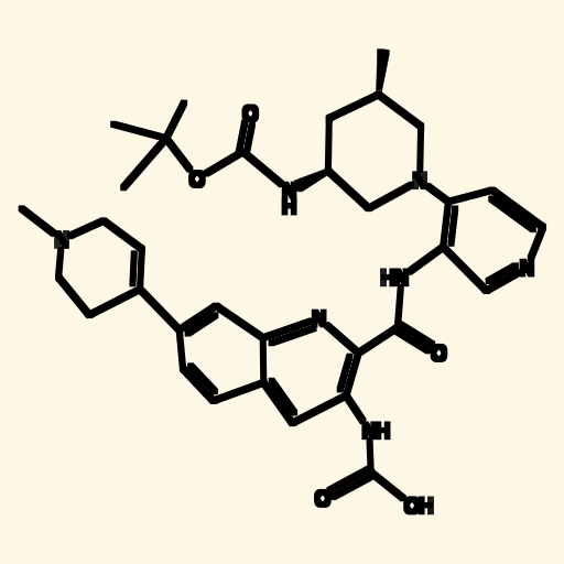 C[C@@H]1C[C@H](NC(=O)OC(C)(C)C)CN(c2ccncc2NC(=O)c2nc3cc(C4=CCN(C)CC4)ccc3cc2NC(=O)O)C1